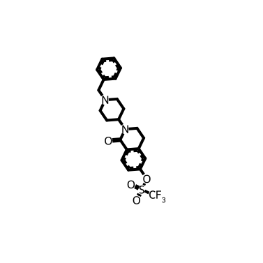 O=C1c2ccc(OS(=O)(=O)C(F)(F)F)cc2CCN1C1CCN(Cc2ccccc2)CC1